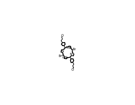 O=CCCc1ccc(-c2c3nc(c(Br)c4ccc([nH]4)c(-c4ccc(CCC=O)cc4)c4nc(c(Br)c5ccc2[nH]5)C=C4)C=C3)cc1